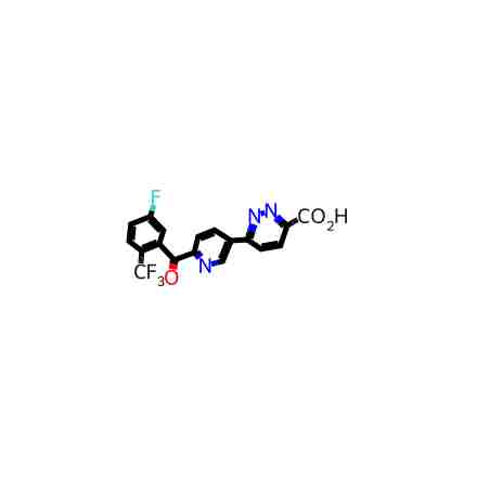 O=C(O)c1ccc(-c2ccc(C(=O)c3cc(F)ccc3C(F)(F)F)nc2)nn1